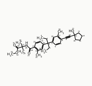 CCC(CC)(c1ccc(C#CC2(O)CCCC2)c(C)c1)c1ccc(C(=O)NC(C)(C)C(=O)OC)c(C)c1